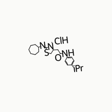 CC(C)c1ccc(NC(=O)CC2CSC(=NC3CCCCCC3)N2C)cc1.Cl